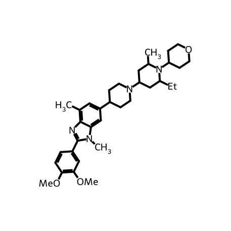 CCC1CC(N2CCC(c3cc(C)c4nc(-c5ccc(OC)c(OC)c5)n(C)c4c3)CC2)CC(C)N1C1CCOCC1